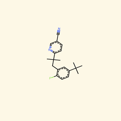 CC(C)(C)c1ccc(F)c(CC(C)(C)c2ccc(C#N)cn2)c1